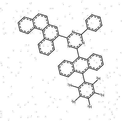 [2H]c1c([2H])c([2H])c(-c2c3ccccc3c(-c3nc(-c4ccccc4)nc(-c4cc5ccc6ccccc6c5c5ccccc45)n3)c3ccccc23)c([2H])c1[2H]